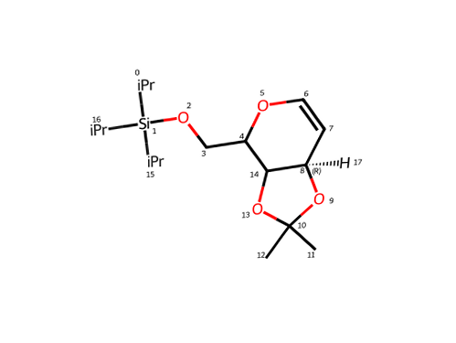 CC(C)[Si](OCC1OC=C[C@H]2OC(C)(C)OC12)(C(C)C)C(C)C